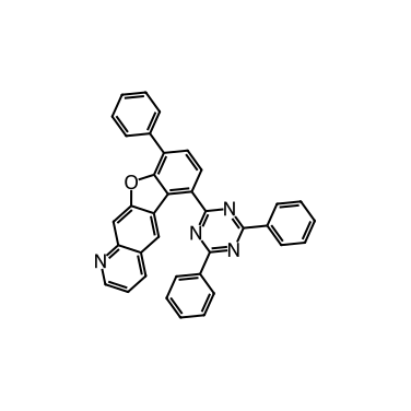 c1ccc(-c2nc(-c3ccccc3)nc(-c3ccc(-c4ccccc4)c4oc5cc6ncccc6cc5c34)n2)cc1